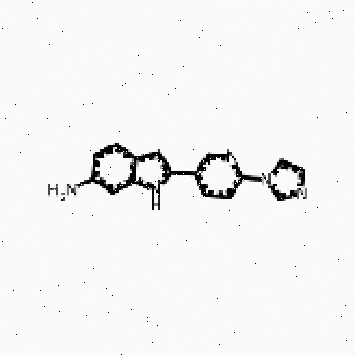 Nc1ccc2cc(-c3ccc(-n4ccnc4)nc3)[nH]c2c1